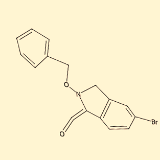 O=C=C1c2ccc(Br)cc2CN1OCc1ccccc1